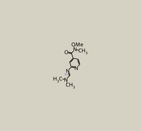 CON(C)C(=O)c1ccnc(/N=C/N(C)C)c1